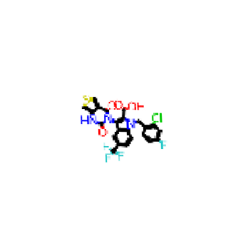 O=C(O)c1c(-n2c(=O)[nH]c3cscc3c2=O)c2cc(C(F)(F)F)ccc2n1Cc1ccc(F)cc1Cl